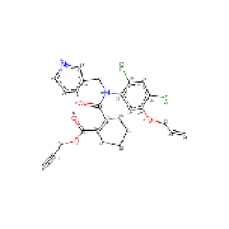 C#CCOC(=O)C1=C(C(=O)N(Cc2cccnc2)c2cc(OCC=C)c(Cl)cc2F)CCCC1